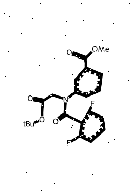 COC(=O)c1cccc(N(CC(=O)OC(C)(C)C)C(=O)c2c(F)cccc2F)c1